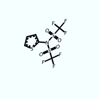 O=S(=O)(N(c1cccs1)S(=O)(=O)C(F)(F)F)C(F)(F)F